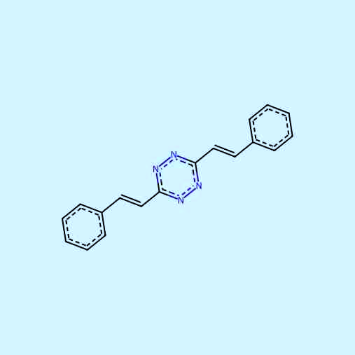 C(=C\c1nnc(/C=C/c2ccccc2)nn1)/c1ccccc1